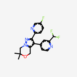 CC1(C)Cn2nc(-c3ccc(F)cn3)c(-c3ccnc(C(F)F)c3)c2CO1